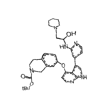 CC(C)(C)OC(=O)N1CCc2ccc(Oc3ccnc4[nH]cc(-c5ccnc(NC(O)CN6CCCCC6)c5)c34)cc2C1